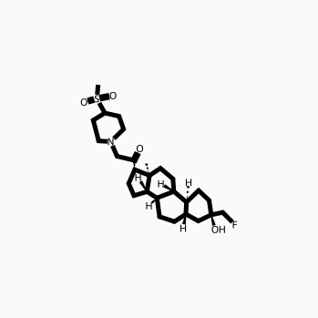 C[C@]12CC[C@H]3[C@@H](CC[C@H]4C[C@@](O)(CF)CC[C@@H]43)[C@@H]1CC[C@@H]2C(=O)CN1CCC(S(C)(=O)=O)CC1